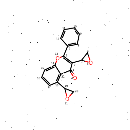 O=c1c(C2CO2)c(-c2ccccc2)oc2cccc(C3CO3)c12